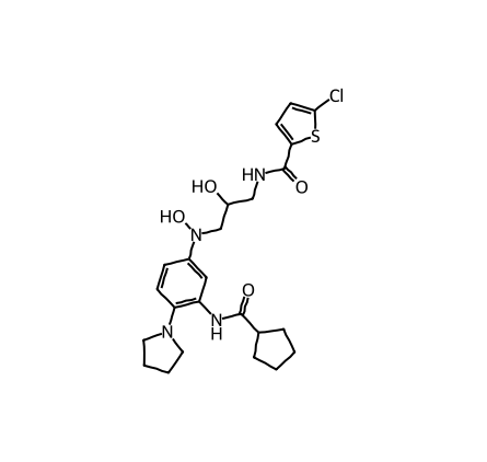 O=C(NCC(O)CN(O)c1ccc(N2CCCC2)c(NC(=O)C2CCCC2)c1)c1ccc(Cl)s1